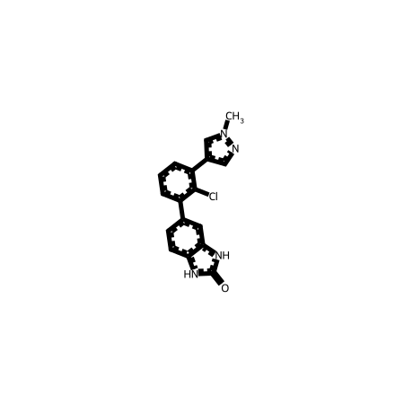 Cn1cc(-c2cccc(-c3ccc4[nH]c(=O)[nH]c4c3)c2Cl)cn1